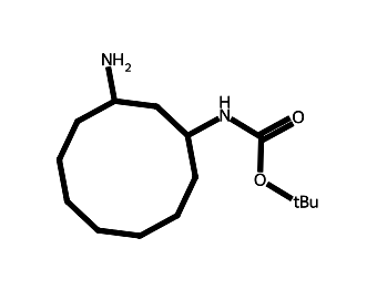 CC(C)(C)OC(=O)NC1CCCCCCCC(N)C1